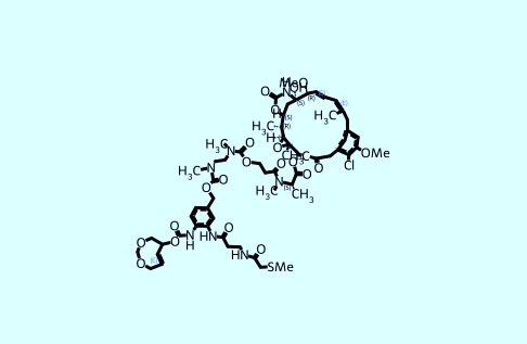 COc1cc2cc(c1Cl)CC(=O)C[C@H](OC(=O)[C@H](C)N(C)C(=O)CCOC(=O)N(C)CCN(C)C(=O)OCc1ccc(NC(=O)OC3/C=C/COCOC3)c(NC(=O)CCNC(=O)CSC)c1)[C@]1(C)O[C@H]1[C@H](C)[C@@H]1C[C@@](O)(NC(=O)O1)[C@H](OC)/C=C/C=C(\C)C2